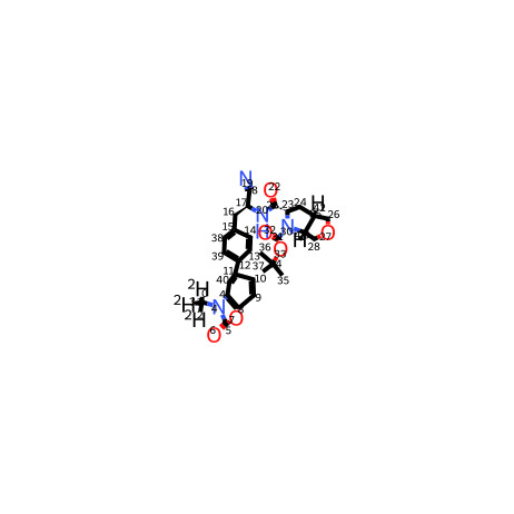 [2H]C([2H])([2H])n1c(=O)oc2ccc(-c3ccc(C[C@@H](C#N)NC(=O)[C@@H]4C[C@@H]5COC[C@@H]5N4C(=O)OC(C)(C)C)cc3)cc21